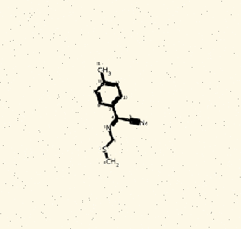 CSC/N=C(\C#N)c1ccc(C)cc1